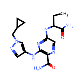 CCC(Nc1cnc(C(N)=O)c(Nc2cnn(CC3CC3)c2)n1)C(N)=O